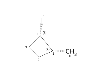 C[C@@H]1CC[C@@H]1I